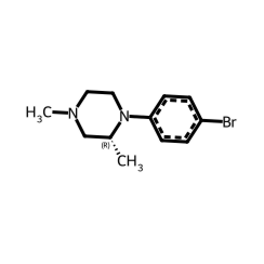 C[C@@H]1CN(C)CCN1c1ccc(Br)cc1